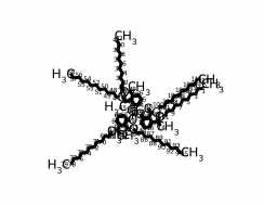 CCCCCCCCCCCCOC(C)c1cccc(OP(Oc2cccc(C(C)OCCCCCCCCCCCC)c2C(C)OCCCCCCCCCCCC)Oc2cccc(C(C)OCCCCCCCCCCCC)c2C(C)OCCCCCCCCCCCC)c1C(C)OCCCCCCCCCCCC